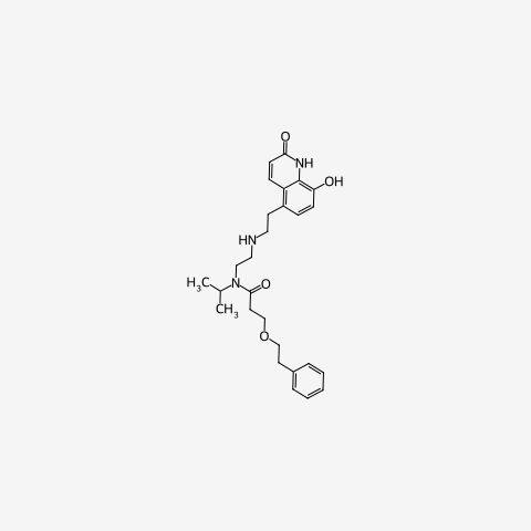 CC(C)N(CCNCCc1ccc(O)c2[nH]c(=O)ccc12)C(=O)CCOCCc1ccccc1